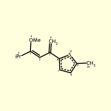 C=C(/C=C(\OC)C(C)C)c1ccc(C)s1